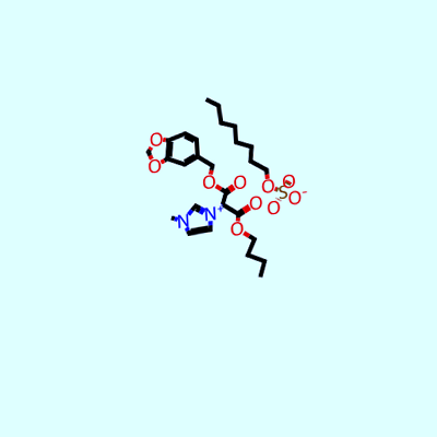 CCCCCCCCOS(=O)(=O)[O-].CCCCOC(=O)C(C(=O)OCc1ccc2c(c1)OCO2)[n+]1ccn(C)c1